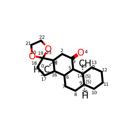 C[C@]12CC(=O)C3C(CC[C@@H]4CCCC[C@]34C)C1CCC21OCCO1